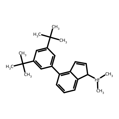 [CH3][Hf]([CH3])[CH]1C=Cc2c(-c3cc(C(C)(C)C)cc(C(C)(C)C)c3)cccc21